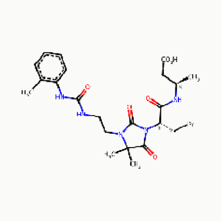 Cc1ccccc1NC(=O)NCCN1C(=O)N([C@@H](CC(C)C)C(=O)N[C@H](C)CC(=O)O)C(=O)C1(C)C